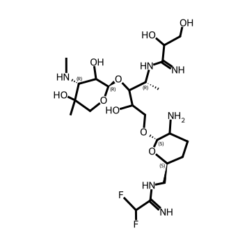 CN[C@@H]1C(O)[C@@H](OC(C(O)CO[C@H]2O[C@H](CNC(=N)C(F)F)CCC2N)[C@@H](C)NC(=N)C(O)CO)OCC1(C)O